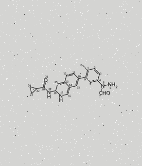 Cc1ccc(N(N)C=O)cc1-c1ccc2c(c1)=CNC(NC(=O)C1CC1)C=2